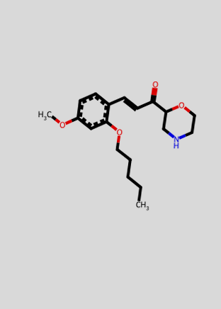 CCCCCOc1cc(OC)ccc1C=CC(=O)C1CNCCO1